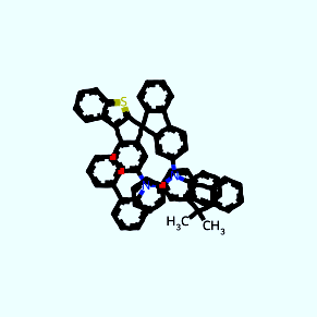 CC1(C)c2ccccc2-c2ccc(N(c3ccc4c(c3)C3(c5ccccc5-c5ccc(N(c6ccccc6)c6ccccc6)cc53)c3sc5ccccc5c3-4)c3ccccc3-c3ccccc3)cc21